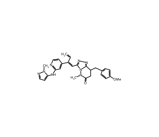 C=C/C(=C\c1nnc2n1N(C)C(=O)CC2Cc1ccc(OC)cc1)c1ccnc(Nc2ccnn2C)c1